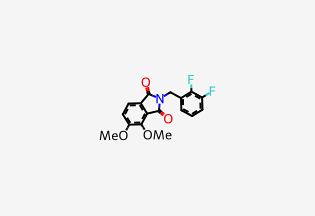 COc1ccc2c(c1OC)C(=O)N(Cc1cccc(F)c1F)C2=O